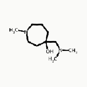 CN(C)CC1(O)CCCN(C)CC1